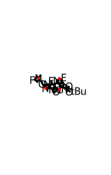 CN1C[C@@H](F)C[C@H]1COc1ncc2c3c(c(-c4ncc(F)c5sc(NC(=O)OC(C)(C)C)c(C#N)c45)c(F)c2n1)COC3